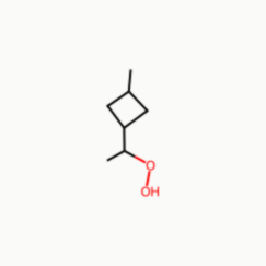 CC1CC(C(C)OO)C1